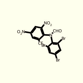 O=CN(c1c(Br)cc(Br)cc1Br)c1c([N+](=O)[O-])cc([N+](=O)[O-])cc1C(F)(F)F